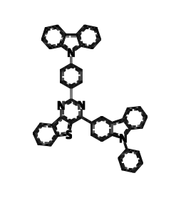 c1ccc(-n2c3ccccc3c3cc(-c4nc(-c5ccc(-n6c7ccccc7c7ccccc76)cc5)nc5c4sc4ccccc45)ccc32)cc1